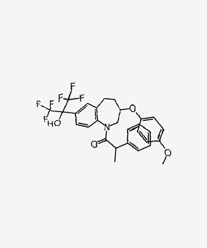 COc1ccc(OC2CCc3cc(C(O)(C(F)(F)F)C(F)(F)F)ccc3N(C(=O)C(C)c3ccccc3)C2)cc1